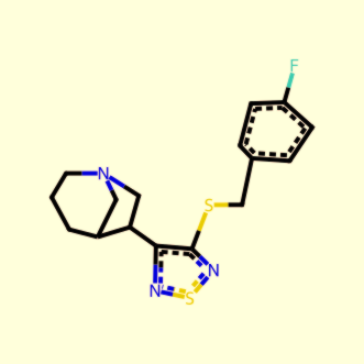 Fc1ccc(CSc2nsnc2C2CN3CCCC2C3)cc1